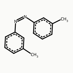 Cc1cccc(/N=N\c2cccc(C)c2)c1